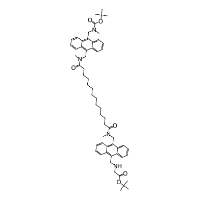 CN(Cc1c2ccccc2c(CNCC(=O)OC(C)(C)C)c2ccccc12)C(=O)CCCCCCCCCCCCC(=O)N(C)Cc1c2ccccc2c(CN(C)C(=O)OC(C)(C)C)c2ccccc12